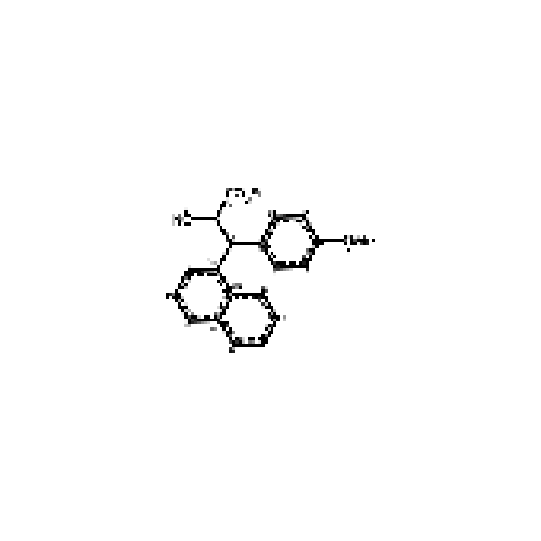 CCOC(=O)C(C#N)C(c1ccc(OC)cc1)c1cccc2ccccc12